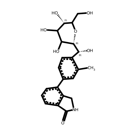 Cc1cc(-c2cccc3c2CNC3=O)ccc1[C@@H](O)[C@H]1OC(CO)[C@@H](O)C(O)C1O